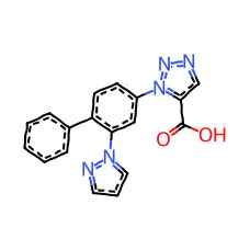 O=C(O)c1cnnn1-c1ccc(-c2ccccc2)c(-n2cccn2)c1